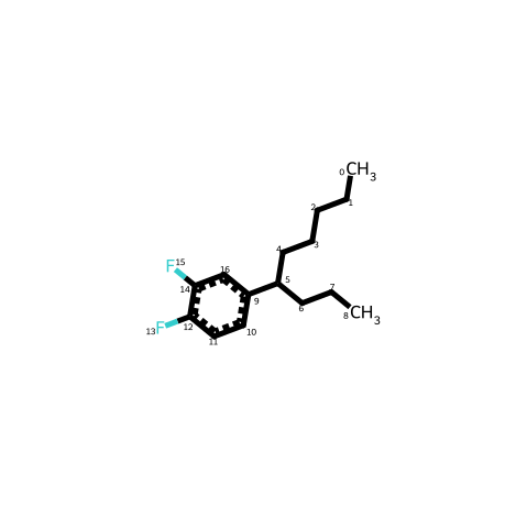 CCCCCC(CCC)c1ccc(F)c(F)c1